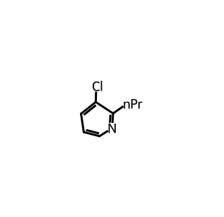 CCCc1ncccc1Cl